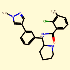 CCCn1cc(-c2cccc([C@H](NC(=O)c3cccc(C(F)(F)F)c3Cl)C3CCCCN3)c2)cn1